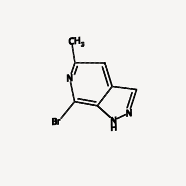 Cc1cc2cn[nH]c2c(Br)n1